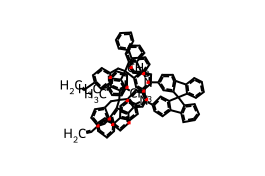 C=Cc1ccc(CC2(c3cc(C)ccc3C)c3ccccc3-c3ccc(N(c4ccc(-c5ccccc5)cc4)c4ccc5c(c4)C4(c6ccccc6-5)c5ccccc5-c5ccc(N(c6ccc(-c7ccccc7)cc6)c6ccc7c(c6)C(Cc6ccc(C=C)cc6)(c6cc(C)ccc6C)c6ccccc6-7)cc54)cc32)cc1